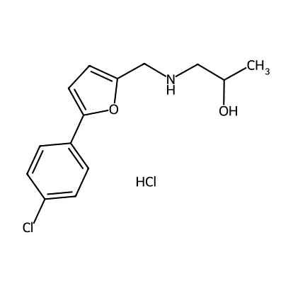 CC(O)CNCc1ccc(-c2ccc(Cl)cc2)o1.Cl